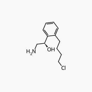 NC[C@H](O)c1ccccc1CCCCCl